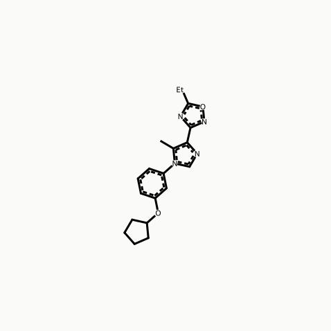 CCc1nc(-c2ncn(-c3cccc(OC4CCCC4)c3)c2C)no1